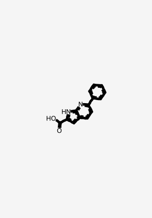 O=C(O)c1cc2ccc(-c3ccccc3)nc2[nH]1